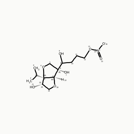 CC(C)[C@]12OC[C@@](O)(C(O)CCCO[N+](=O)[O-])[C@H]1OC[C@@H]2O